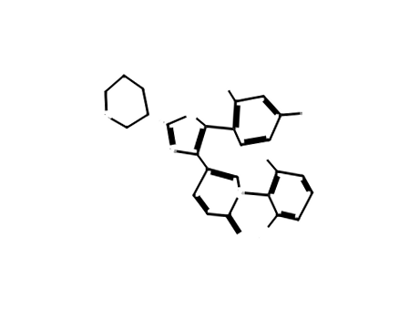 Cc1cccc(C)c1-n1cc(-c2nc([C@H]3CCCNC3)oc2-c2ccc(F)cc2F)ccc1=O